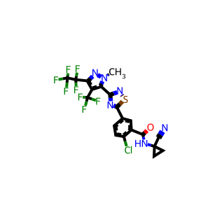 Cn1nc(C(F)(F)C(F)(F)F)c(C(F)(F)F)c1-c1nsc(-c2ccc(Cl)c(C(=O)NC3(C#N)CC3)c2)n1